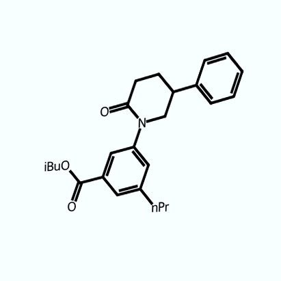 CCCc1cc(C(=O)OCC(C)C)cc(N2CC(c3ccccc3)CCC2=O)c1